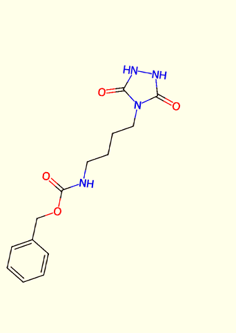 O=C(NCCCCn1c(=O)[nH][nH]c1=O)OCc1ccccc1